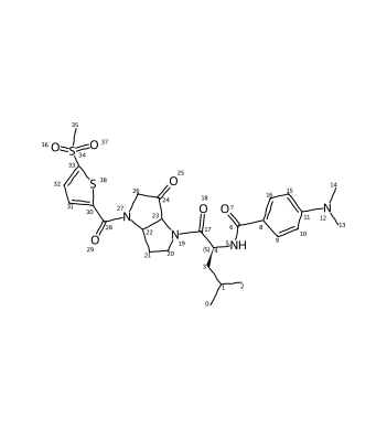 CC(C)C[C@H](NC(=O)c1ccc(N(C)C)cc1)C(=O)N1CCC2C1C(=O)CN2C(=O)c1ccc(S(C)(=O)=O)s1